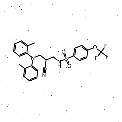 Cc1ccccc1N(CC(C#N)CNS(=O)(=O)c1ccc(OC(F)(F)F)cc1)c1ccccc1C